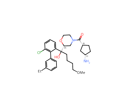 CCc1cccc(-c2c(Cl)cccc2C(O)(CCCCOC)[C@H]2CN(C(=O)[C@@H]3CC[C@H](N)C3)CCO2)c1